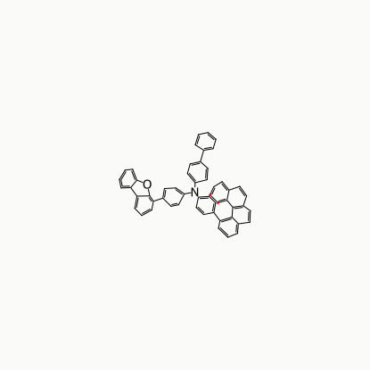 C1=C=c2c(oc3c(-c4ccc(N(c5ccc(-c6ccccc6)cc5)c5ccc(-c6cccc7ccc8ccc9ccccc9c8c67)cc5)cc4)cccc23)=CC=1